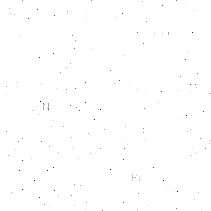 O=C(O)CCOc1cc(Br)ccc1[N+](=O)[O-]